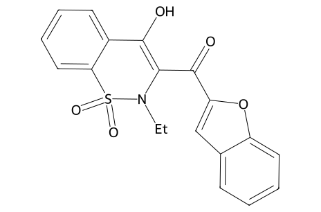 CCN1C(C(=O)c2cc3ccccc3o2)=C(O)c2ccccc2S1(=O)=O